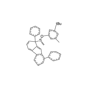 [CH2]=[Ti]([O]c1cc(C)cc(C(C)(C)C)c1)[C]1(c2ccccc2)C=CC=C2C1=Cc1c2cccc1-c1ccccc1